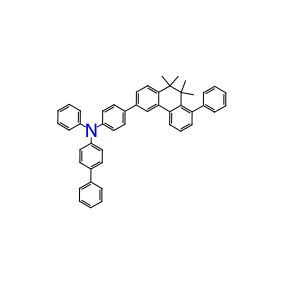 CC1(C)c2ccc(-c3ccc(N(c4ccccc4)c4ccc(-c5ccccc5)cc4)cc3)cc2-c2cccc(-c3ccccc3)c2C1(C)C